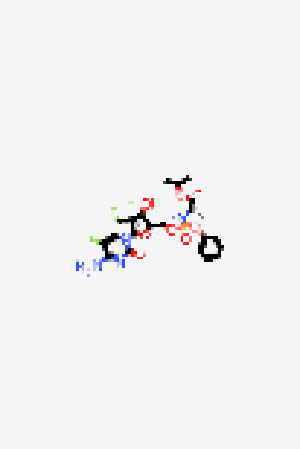 CC(C)OC(=O)[C@H](C)NP(=O)(OC[C@H]1O[C@@H](n2cc(F)c(N)nc2=O)[C@@](F)(CF)C1O)Oc1ccccc1